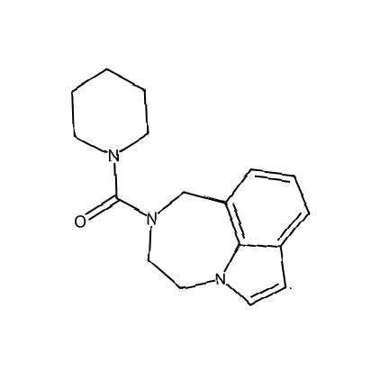 O=C(N1CCCCC1)N1CCn2c[c]c3cccc(c32)C1